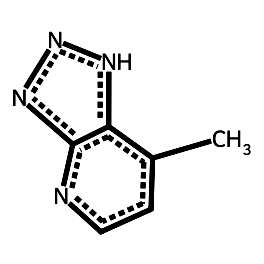 Cc1ccnc2nn[nH]c12